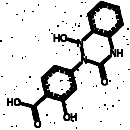 O=C(O)c1ccc(N2C(=O)Nc3ccccc3N2O)cc1O